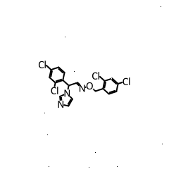 Clc1ccc(CON=CC(c2ccc(Cl)cc2Cl)n2ccnc2)c(Cl)c1